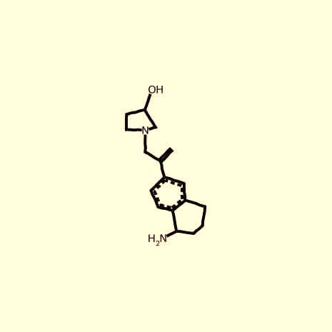 C=C(CN1CCC(O)C1)c1ccc2c(c1)CCCC2N